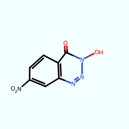 O=c1c2ccc([N+](=O)[O-])cc2nnn1O